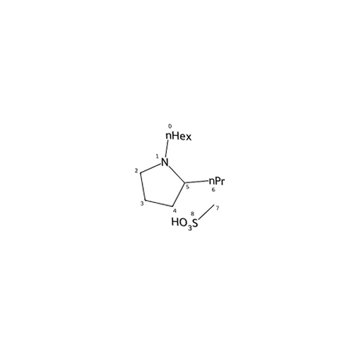 CCCCCCN1CCCC1CCC.CS(=O)(=O)O